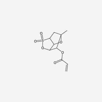 C=CC(=O)OC1C2OS(=O)(=O)C3CC1(C)OC23